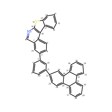 c1cc(-c2ccc3c(cnc4sc5ccccc5c43)c2)cc(-c2ccc3c4ccccc4c4ccccc4c3c2)c1